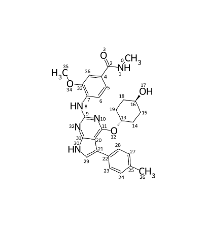 CNC(=O)c1ccc(Nc2nc(O[C@H]3CC[C@H](O)CC3)c3c(-c4ccc(C)cc4)c[nH]c3n2)c(OC)c1